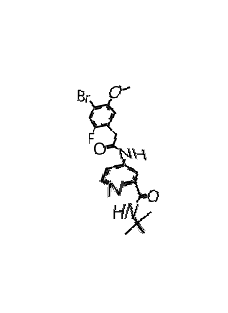 COc1cc(CC(=O)Nc2ccnc(C(=O)NC(C)(C)C)c2)c(F)cc1Br